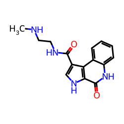 CNCCNC(=O)c1c[nH]c2c(=O)[nH]c3ccccc3c12